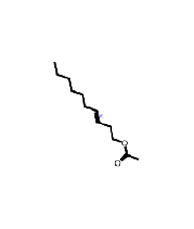 CCCCCC/C=C/CCOC(C)=O